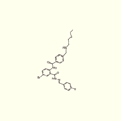 CCSCCNCc1ccc(C(=O)Nc2ccc(Br)cc2C(=O)N/N=C/c2ccc(F)cc2)cc1